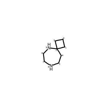 C1CC2(C1)CCNCCN2